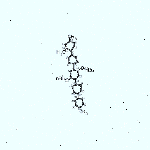 CCCCOc1cc(-c2ccc(-c3ccc(C)cc3C)cc2)c(OCCCC)cc1-c1ccc(-c2ccc(C)cc2)cc1